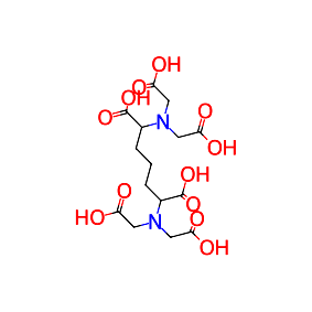 O=C(O)CN(CC(=O)O)C(CCCC(C(=O)O)N(CC(=O)O)CC(=O)O)C(=O)O